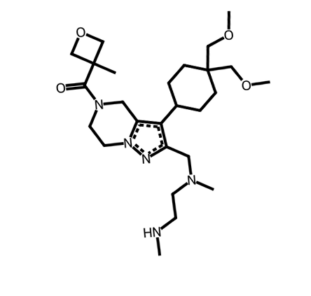 CNCCN(C)Cc1nn2c(c1C1CCC(COC)(COC)CC1)CN(C(=O)C1(C)COC1)CC2